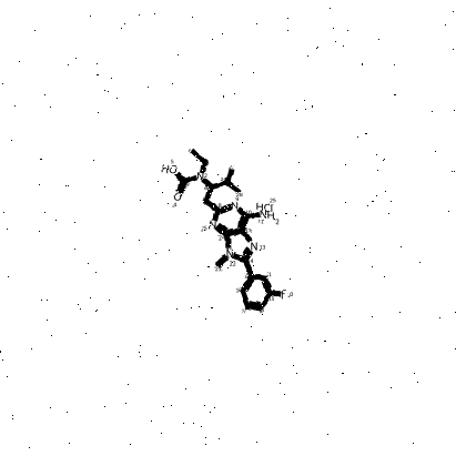 CCN(C(=O)O)C(Cc1nc(N)c2nc(-c3cccc(F)c3)n(C)c2n1)C(C)C.Cl